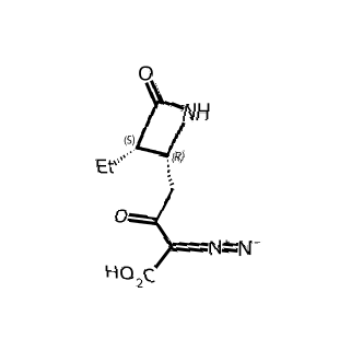 CC[C@@H]1C(=O)N[C@@H]1CC(=O)C(=[N+]=[N-])C(=O)O